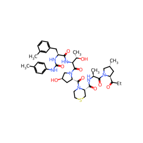 CCC(=O)[C@@H]1C[C@@H](C)CN1C(=O)[C@H](C)NC(=O)[C@@H]1CSCCN1C(=O)[C@@H]1C[C@@H](O)CN1C(=O)[C@@H](NC(=O)[C@H](Cc1cccc(C)c1)NC(=O)Nc1ccc(C)cc1)[C@H](C)O